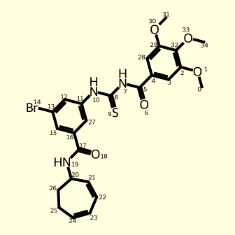 COc1cc(C(=O)NC(=S)Nc2cc(Br)cc(C(=O)NC3C=CC=CCC3)c2)cc(OC)c1OC